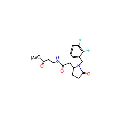 COC(=O)CCNC(=O)CC1CCC(=O)N1Cc1cccc(F)c1F